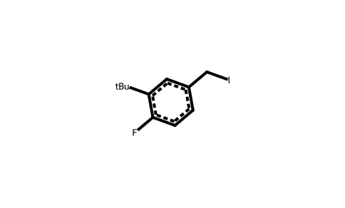 CC(C)(C)c1cc(CI)ccc1F